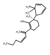 C=C(/C=C\CCC)C1=C(S)[C@@](C)(C2C=CC=CC2(C)N)CCC1